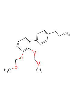 CCCc1ccc(-c2cccc(OCOC)c2OCOC)cc1